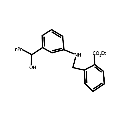 CCCC(O)c1cccc(NCc2ccccc2C(=O)OCC)c1